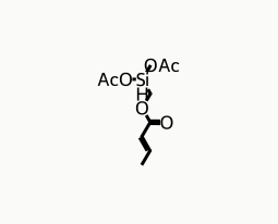 CC=CC(=O)OC[SiH](OC(C)=O)OC(C)=O